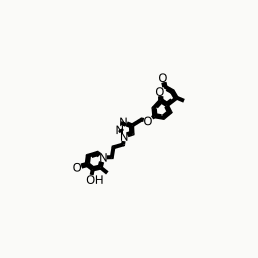 Cc1cc(=O)oc2cc(OCc3cn(CCCn4ccc(=O)c(O)c4C)nn3)ccc12